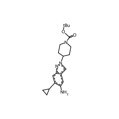 CC(C)(C)OC(=O)N1CCC(n2cc3cc(N)c(C4CC4)cc3n2)CC1